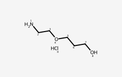 Cl.NCCOCCCO